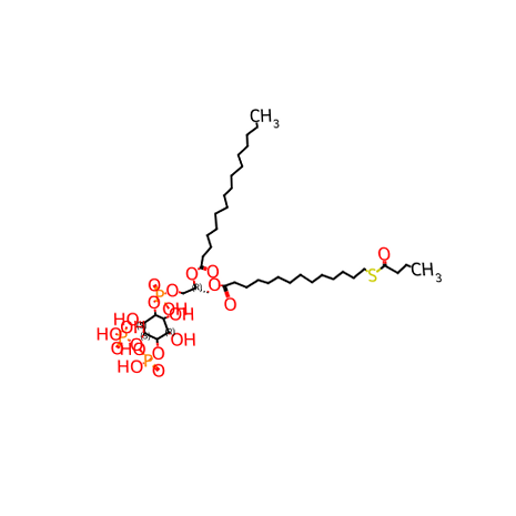 CCCCCCCCCCCCCCCC(=O)O[C@H](COC(=O)CCCCCCCCCCCCCSC(=O)CCC)COP(=O)(O)OC1C(O)[C@@H](O)C(OP(=O)(O)O)[C@@H](OP(=O)(O)O)[C@H]1O